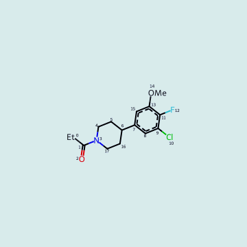 CCC(=O)N1CCC(c2cc(Cl)c(F)c(OC)c2)CC1